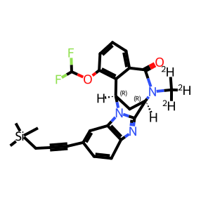 [2H]C([2H])([2H])N1C(=O)c2cccc(OC(F)F)c2[C@H]2C[C@@H]1c1nc3ccc(C#CC[Si](C)(C)C)cc3n12